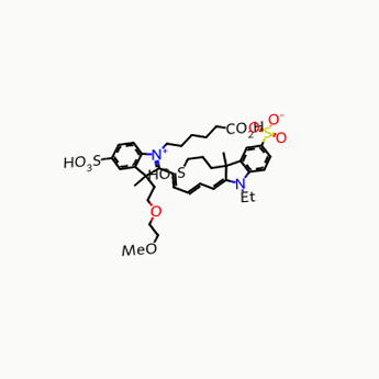 CCN1/C(=C/C=C/C=C/C2=[N+](CCCCCC(=O)O)c3ccc(S(=O)(=O)O)cc3C2(C)CCOCCOC)C(C)(CCCS(=O)(=O)O)c2cc(S(=O)(=O)[O-])ccc21